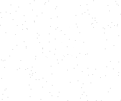 O=C(O)c1cn2nc3ccccc3c2cn1